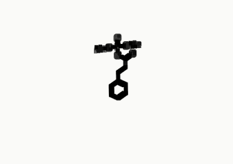 COP(=O)(OC)OC(=O)CCc1ccccc1